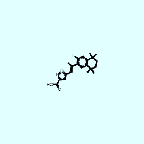 CC(=Cc1cc(C(=O)O)no1)c1cc2c(cc1F)C(C)(C)CCC2(C)C